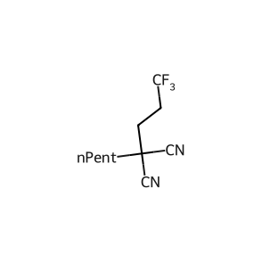 CCCCCC(C#N)(C#N)CCC(F)(F)F